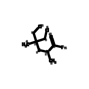 CN(SC(C)(CCl)CCl)C(=O)F